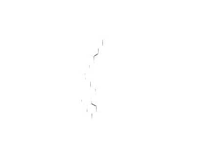 CCOC1C(CCC(C)CCCC(C)CCC/C(C)=C/CCC(C)C(=O)O)=CC(O)C(C)C1C